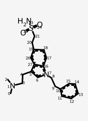 CN(C)CCc1cn(CCc2ccccc2)c2ccc(CCS(N)(=O)=O)cc12